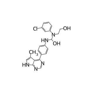 Cc1c[nH]c2ncnc(-c3ccc(NC(O)N(CCO)c4cccc(Cl)c4)cc3)c12